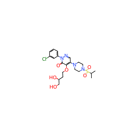 CC(C)S(=O)(=O)N1CCN(c2cnn(-c3cccc(Cl)c3)c(=O)c2OCC[C@H](O)CO)CC1